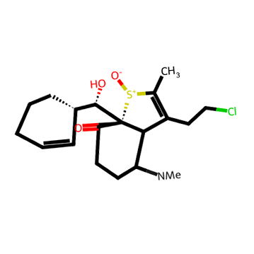 CNC1CCC(=O)[C@@]2([C@@H](O)[C@@H]3C=CCCC3)C1C(CCCl)=C(C)[S+]2[O-]